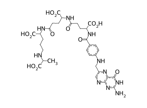 CC(NCCCC(NC(=O)CCC(NC(=O)CCC(NC(=O)c1ccc(NCc2cnc3nc(N)[nH]c(=O)c3n2)cc1)C(=O)O)C(=O)O)C(=O)O)C(=O)O